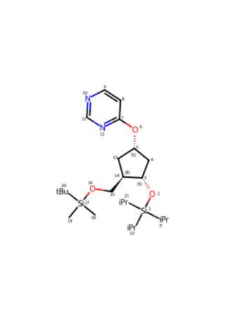 CC(C)[Si](O[C@H]1C[C@@H](Oc2ccncn2)C[C@@H]1CO[Si](C)(C)C(C)(C)C)(C(C)C)C(C)C